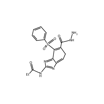 CCC(=O)NC1=NC2=CCC(C(=O)NN)=C(S(=O)(=O)c3ccccc3)C2=N1